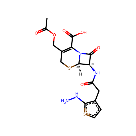 CC(=O)OCC1=C(C(=O)O)N2C(=O)[C@@H](NC(=O)Cc3ccsc3NN)[C@H]2SC1